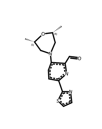 C[C@@H]1CN(c2ccc(-c3nccs3)nc2C=O)C[C@H](C)O1